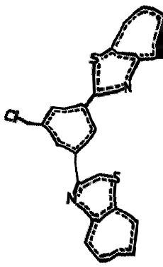 Clc1cc(-c2nc3ccccc3s2)cc(-c2nc3ccccc3s2)c1